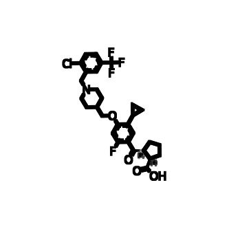 O=C(O)[C@@H]1CCC[C@H]1C(=O)c1cc(C2CC2)c(OCC2CCN(Cc3cc(C(F)(F)F)ccc3Cl)CC2)cc1F